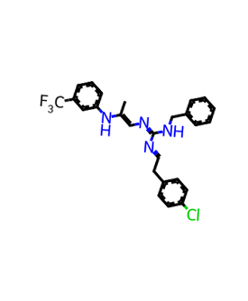 C\C(=C/N=C(\N=C\Cc1ccc(Cl)cc1)NCc1ccccc1)Nc1cccc(C(F)(F)F)c1